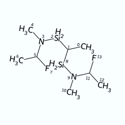 CC([SiH2]N(C)C(C)F)[SiH2]N(C)C(C)F